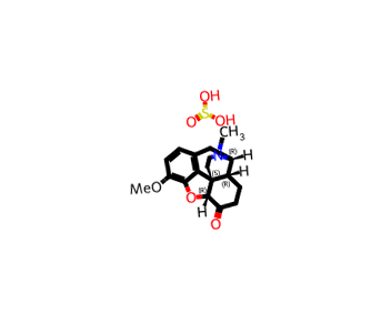 COc1ccc2c3c1O[C@H]1C(=O)CC[C@H]4[C@@H](C2)N(C)CC[C@]314.O=S(O)O